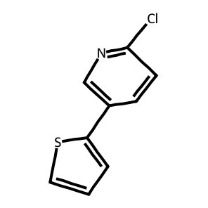 Clc1ccc(-c2cccs2)cn1